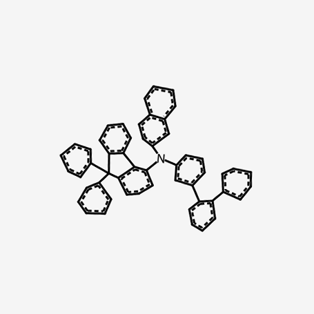 c1ccc(-c2ccccc2-c2cccc(N(c3ccc4ccccc4c3)c3cccc4c3-c3ccccc3C4(c3ccccc3)c3ccccc3)c2)cc1